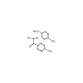 CCN(CC)C(=O)c1ccc(C)nc1.Cc1ccc(C(=O)O)cn1